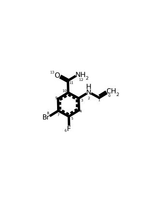 C=CNc1cc(F)c(Br)cc1C(N)=O